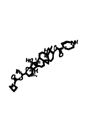 CC(C)C(OC(=O)N1CCC1)C1C[C@@H](C)[C@H]2C(O1)[C@H](O)[C@@]1(C)C3CC[C@H]4C(C)(C)C(OC(=O)N5CCNCC5)CCC45CC35CCC21C